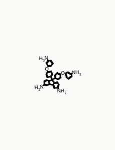 Nc1cccc(Oc2ccc(C3(c4ccc(Oc5cccc(N)c5)cc4)c4ccc(N)cc4-c4cc(N)ccc43)cc2)c1